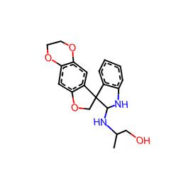 CC(CO)NC1Nc2ccccc2C12COc1cc3c(cc12)OCCO3